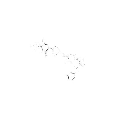 O=C(NC1CCN(CCC2CCN(c3cc(F)c([N+](=O)[O-])cc3F)CC2)CC1)OCc1ccccc1